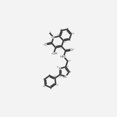 Cn1c(=O)c(O)c(C(=O)NCc2csc(-c3ccccc3)n2)c2ccccc21